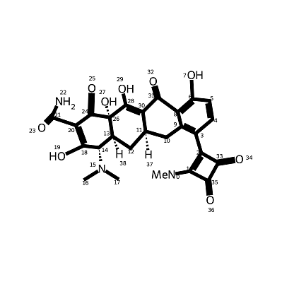 CNc1c(-c2ccc(O)c3c2C[C@H]2C[C@H]4[C@H](N(C)C)C(O)=C(C(N)=O)C(=O)[C@@]4(O)C(O)=C2C3=O)c(=O)c1=O